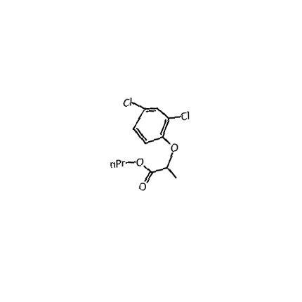 CCCOC(=O)C(C)Oc1ccc(Cl)cc1Cl